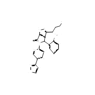 CCCCc1n[nH]c2c1C(c1ccccc1OC)N(c1ccc(-c3ccon3)cc1)C2=O